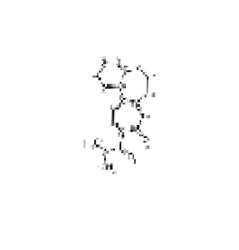 CN(C)C(=O)c1ccc2c(cc1=O)CCCc1ccccc1-2